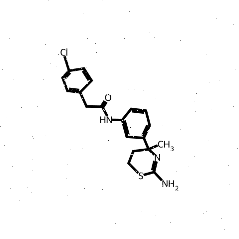 CC1(c2cccc(NC(=O)Cc3ccc(Cl)cc3)c2)CCSC(N)=N1